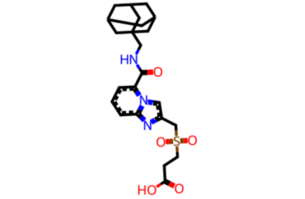 O=C(O)CCS(=O)(=O)Cc1cn2c(C(=O)NCC34CC5CC(CC(C5)C3)C4)cccc2n1